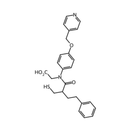 O=C(O)CN(C(=O)C(CS)CCc1ccccc1)c1ccc(OCc2ccncc2)cc1